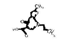 CCCn1cc(C(=O)O)c(=O)c2cc(C)sc21